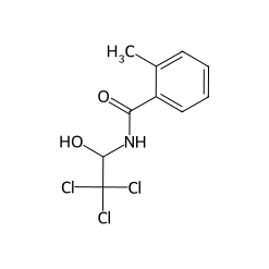 Cc1ccccc1C(=O)NC(O)C(Cl)(Cl)Cl